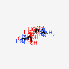 Nc1ncnc2c1ncn2[C@@H]1O[C@H](COP(=O)(O)O[C@@H]2[C@H](O)[C@@H](CO)O[C@H]2n2cnc3c(=O)[nH]ncc32)[C@@H](O)[C@H]1O